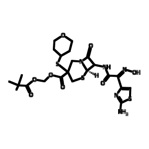 CC(C)(C)C(=O)OCOC(=O)C1(SC2CCOCC2)CS[C@@H]2C(NC(=O)C(=NO)c3csc(N)n3)C(=O)N2C1